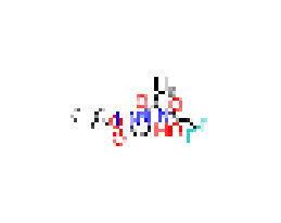 C[C@H](NC(=O)[C@@H](O)CC(F)F)C(=O)N1CCC[C@@H](C(=O)OCC(Cl)(Cl)Cl)N1